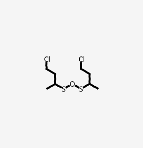 CC(CCCl)SOSC(C)CCCl